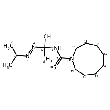 CC(C)N=NC(C)(C)NC(=S)N1CCCCCCCC1